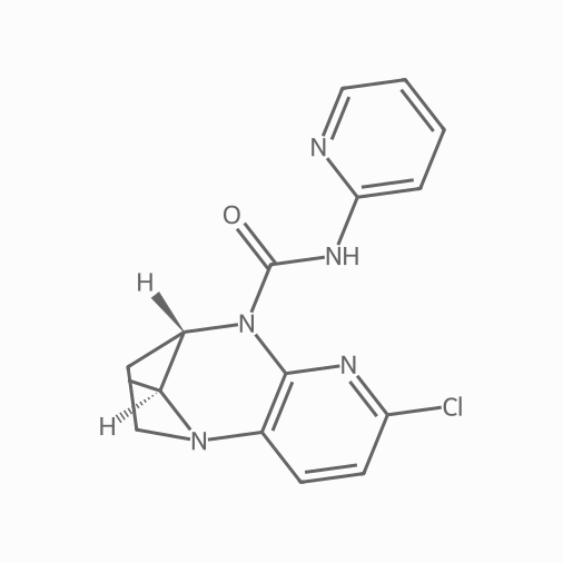 C[C@H]1[C@@H]2CCN1c1ccc(Cl)nc1N2C(=O)Nc1ccccn1